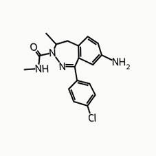 CNC(=O)N1N=C(c2ccc(Cl)cc2)c2cc(N)ccc2CC1C